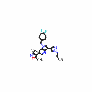 Cc1noc(C)c1-c1cnc2c(-c3cnn(CCC#N)c3)cn(CC3CCC(F)(F)CC3)c2c1